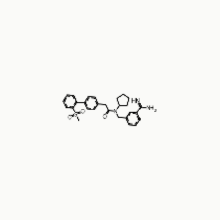 CS(=O)(=O)c1ccccc1-c1ccc(CC(=O)N(Cc2cccc(C(=N)N)c2)C2CCCC2)cc1